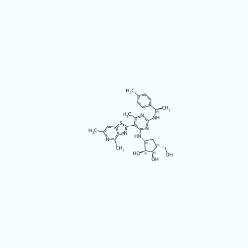 Cc1ccc([C@@H](C)Nc2nc(C)c(-c3nc4c(C)nc(C)cc4s3)c(N[C@@H]3C[C@H](CO)[C@@H](O)[C@H]3O)n2)cc1